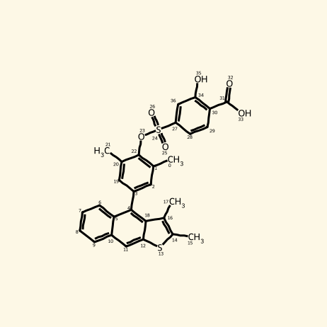 Cc1cc(-c2c3ccccc3cc3sc(C)c(C)c23)cc(C)c1OS(=O)(=O)c1ccc(C(=O)O)c(O)c1